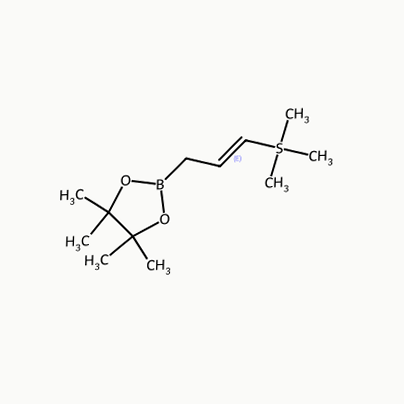 CC1(C)OB(C/C=C/S(C)(C)C)OC1(C)C